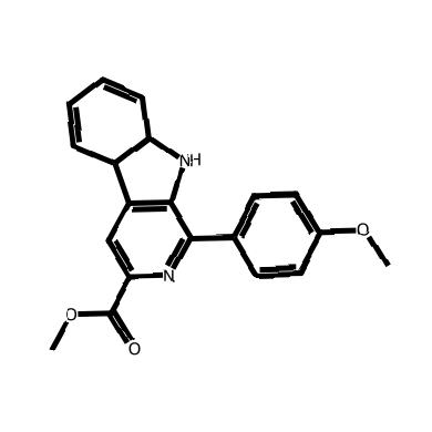 COC(=O)c1cc2c(c(-c3ccc(OC)cc3)n1)NC1C=CC=CC21